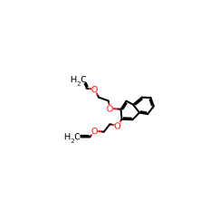 C=COCCOc1cc2ccccc2cc1OCCOC=C